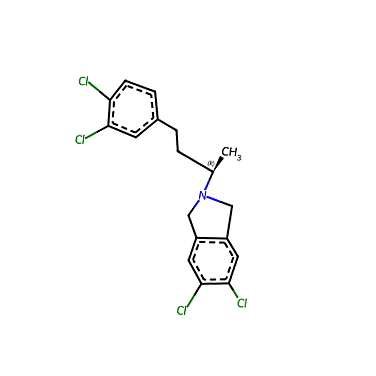 C[C@H](CCc1ccc(Cl)c(Cl)c1)N1Cc2cc(Cl)c(Cl)cc2C1